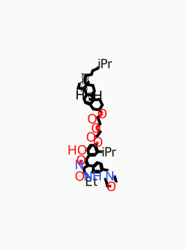 CCNC(=O)c1noc(-c2cc(C(C)C)c(OC(=O)COCC(=O)OC3CCC4(C)C(=CCC5[C@@H]4CCC4(C)[C@@H]([C@H](C)CCCC(C)C)CC[C@@H]54)C3)cc2O)c1-c1ccc(CN2CCOCC2)cc1